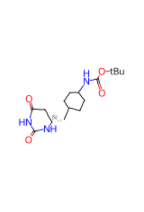 CC(C)(C)OC(=O)NC1CCC(C[C@H]2CC(=O)NC(=O)N2)CC1